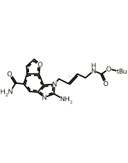 CC(C)(C)OC(=O)NC/C=C/Cn1c(N)nc2cc(C(N)=O)c3ccoc3c21